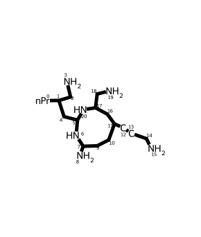 CCCC(CN)CC1NC(N)CCC(CCCN)CC(CN)N1